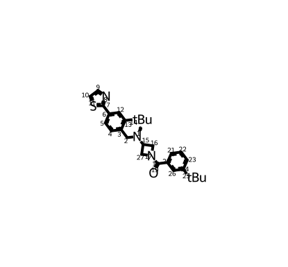 CN(Cc1ccc(-c2nccs2)cc1C(C)(C)C)C1CN(C(=O)c2cccc(C(C)(C)C)c2)C1